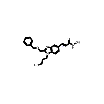 O=C(/C=C/c1ccc2c(c1)nc(COCc1ccccc1)n2CCCO)NO